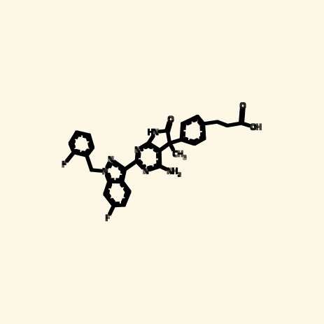 CC1(c2ccc(CCC(=O)O)cc2)C(=O)Nc2nc(-c3nn(Cc4ccccc4F)c4cc(F)ccc34)nc(N)c21